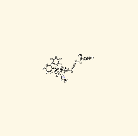 CCCC[Si](OC(C)(/C=C/Br)CC#CCC#CCCC(=O)OC)(c1ccccc1)c1ccccc1